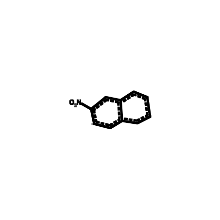 O=[N+]([O-])c1[c]cc2ccccc2c1